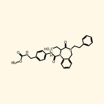 CC(C)(C)OC(=O)NCc1ccc(NC(=O)N2c3ccccc3CN(CCc3ccccc3)C(=O)C2CC(=O)O)cc1